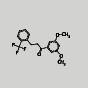 COc1cc(OC)cc(C(=O)CCc2ccccc2C(F)(F)F)c1